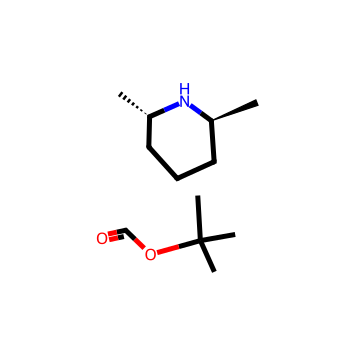 CC(C)(C)OC=O.C[C@H]1CCC[C@H](C)N1